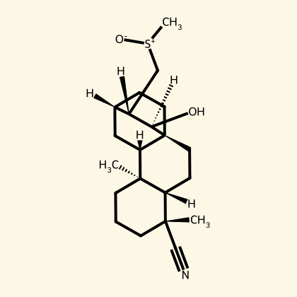 C[S+]([O-])C[C@H]1[C@H]2CC[C@@]3(CC[C@H]4[C@@](C)(CCC[C@@]4(C)C#N)[C@@H]3C2)[C@@H]1O